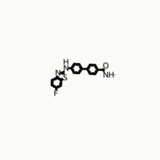 [NH]C(=O)c1ccc(-c2ccc(Nc3nc4ccc(F)cc4s3)cc2)cc1